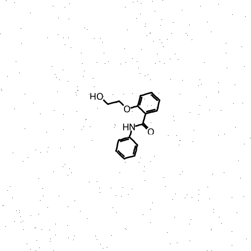 O=C(Nc1ccccc1)c1ccccc1OCCO